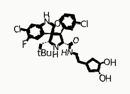 CC(C)(C)C[C@H]1N[C@@H](C(=O)NCCC2C[C@@H](O)[C@@H](O)C2)[C@H](c2cccc(Cl)c2)[C@@]12C(=O)Nc1cc(Cl)c(F)cc12